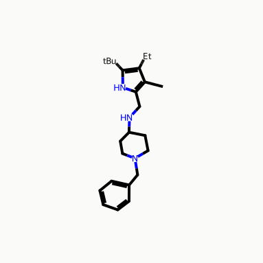 CCc1c(C(C)(C)C)[nH]c(CNC2CCN(Cc3ccccc3)CC2)c1C